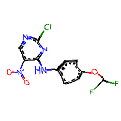 O=[N+]([O-])c1cnc(Cl)nc1Nc1ccc(OC(F)F)cc1